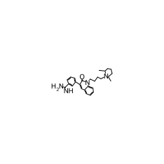 CC1CCCC(C)N1CCCCn1c(=O)c(-c2cccc(C(=N)N)c2)cc2ccccc21